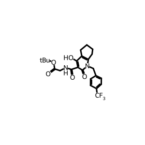 CC(C)(C)OC(=O)CNC(=O)c1c(O)c2c(n(Cc3ccc(C(F)(F)F)cc3)c1=O)CCCC2